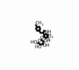 CCc1ccc(Cc2c[nH]c3cc(C)cc(O[C@@H]4O[C@H](CO)[C@@H](O)[C@H](O)[C@H]4O)c23)cc1